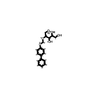 OCC(O)C(O)C(CO)OCOc1ccc(-c2ccccc2)cc1